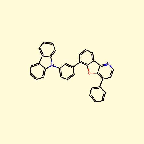 c1ccc(-c2ccnc3c2oc2c(-c4cccc(-n5c6ccccc6c6ccccc65)c4)cccc23)cc1